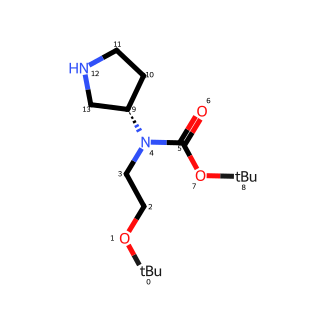 CC(C)(C)OCCN(C(=O)OC(C)(C)C)[C@H]1CCNC1